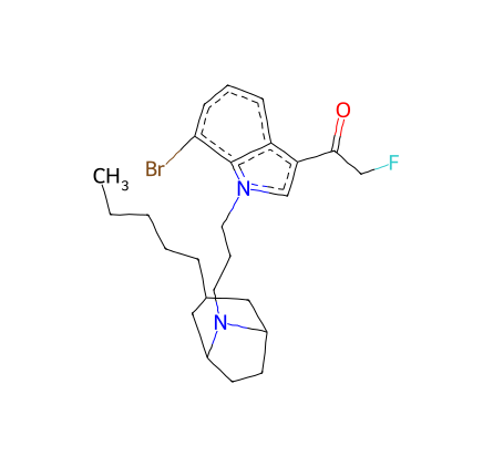 CCCCCC1CC2CCC(C1)N2CCCn1cc(C(=O)CF)c2cccc(Br)c21